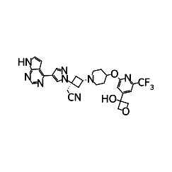 N#CC[C@]1(n2cc(-c3ncnc4[nH]ccc34)cn2)C[C@H](N2CCC(Oc3cc(C4(O)COC4)cc(C(F)(F)F)n3)CC2)C1